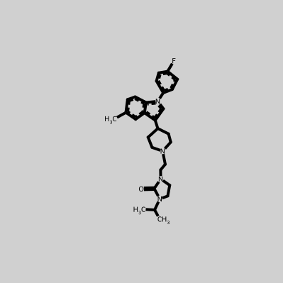 Cc1ccc2c(c1)c(C1CCN(CCN3CCN(C(C)C)C3=O)CC1)cn2-c1ccc(F)cc1